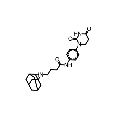 O=C1CCN(c2ccc(NC(=O)CCCNC34CC5CC(CC(C5)C3)C4)cc2)C(=O)N1